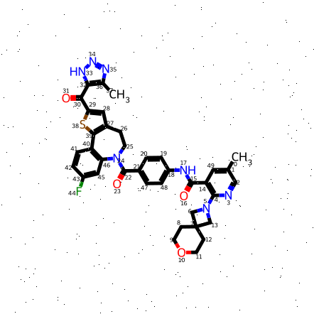 Cc1cnc(N2CC3(CCOCC3)C2)c(C(=O)Nc2ccc(C(=O)N3CCc4cc(C(=O)c5[nH]nnc5C)sc4-c4ccc(F)cc43)cc2)c1